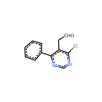 O=CCc1c(Cl)ncnc1-c1ccccc1